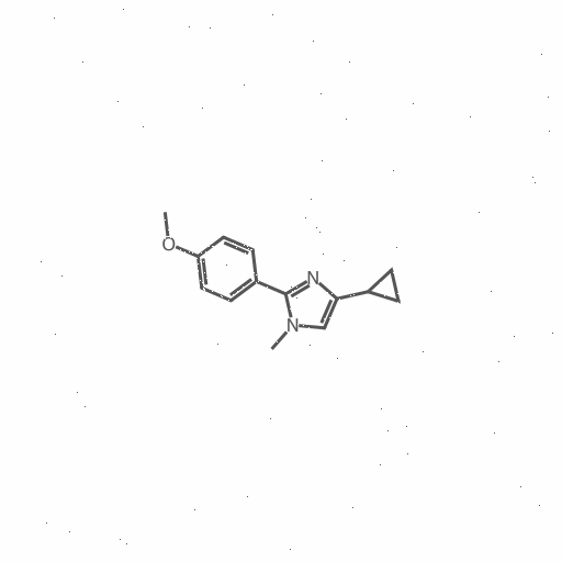 COc1ccc(-c2nc(C3CC3)cn2C)cc1